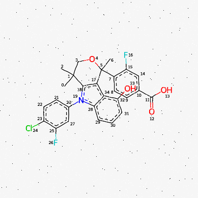 CC1(C)COC(C)(c2ccc(C(=O)O)cc2F)c2c1n(-c1ccc(Cl)c(F)c1)c1cccc(O)c21